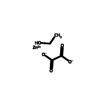 CCO.O=C([O-])C(=O)[O-].[Zn+2]